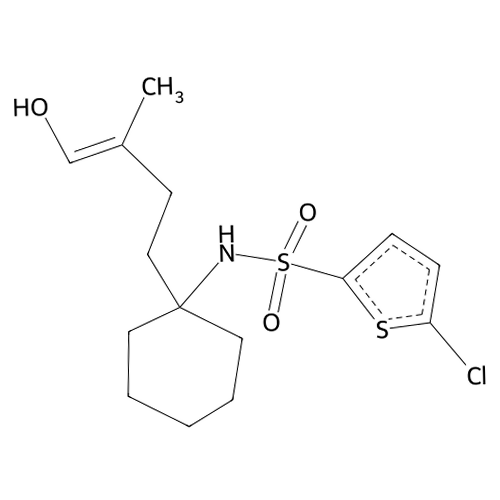 CC(=CO)CCC1(NS(=O)(=O)c2ccc(Cl)s2)CCCCC1